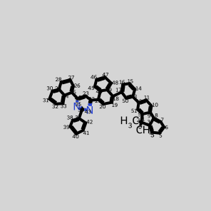 CC1(C)c2ccccc2-c2ccc(-c3cccc(-c4ccc(-c5cc(-c6cccc7ccccc67)nc(-c6ccccc6)n5)c5ccccc45)c3)cc21